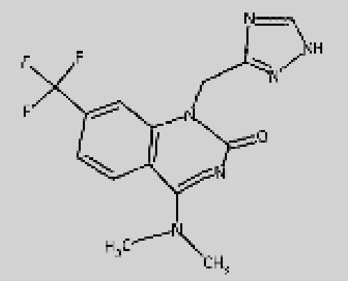 CN(C)c1nc(=O)n(Cc2nc[nH]n2)c2cc(C(F)(F)F)ccc12